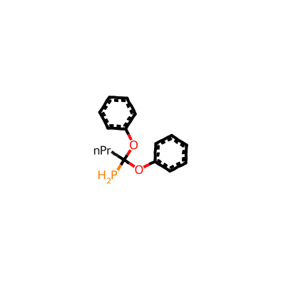 CCCC(P)(Oc1ccccc1)Oc1ccccc1